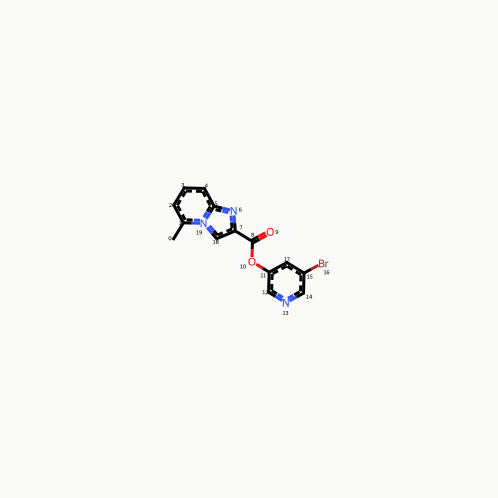 Cc1cccc2nc(C(=O)Oc3cncc(Br)c3)cn12